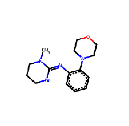 CN1CCCN/C1=N\c1ccccc1N1CCOCC1